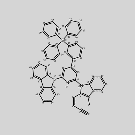 C#C/C=C\c1c(C)c2ccccc2n1-c1cc(-c2cccc(S(c3ccccc3)(c3ccccc3)c3ccccc3)c2)cc(-n2c3ccccc3c3ccccc32)n1